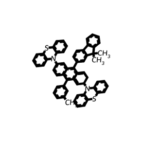 Cc1cccc(-c2c3c(c(-c4ccc5c(c4)C(C)(C)c4ccccc4-5)c4cc(N5c6ccccc6Sc6ccccc65)ccc24)=CCC(N2c4ccccc4Sc4ccccc42)C=3)c1